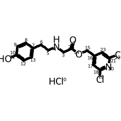 Cl.O=C(CNCCc1ccc(O)cc1)OCc1cc(Cl)nc(Cl)c1